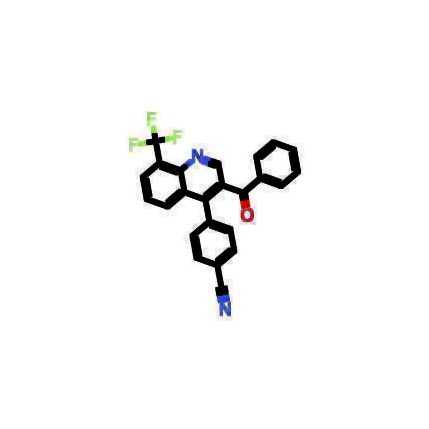 N#Cc1ccc(-c2c(C(=O)c3ccccc3)cnc3c(C(F)(F)F)cccc23)cc1